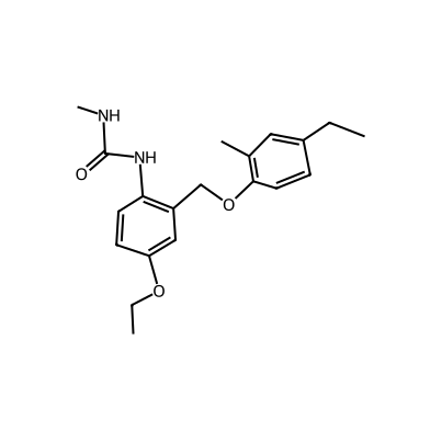 CCOc1ccc(NC(=O)NC)c(COc2ccc(CC)cc2C)c1